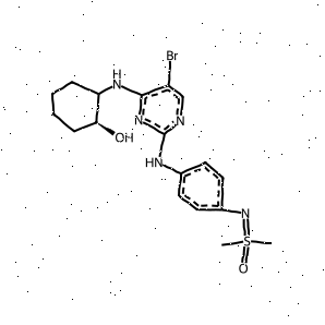 CS(C)(=O)=Nc1ccc(Nc2ncc(Br)c(NC3CCCC[C@@H]3O)n2)cc1